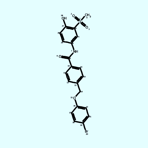 CS(=O)(=O)c1cc(NC(=O)c2ccc(COc3ccc(Br)cc3)cc2)ccc1O